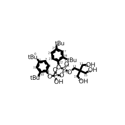 CC(C)(C)c1ccc(OP(=O)(O)OP(=O)(OCC(CO)(CO)CO)Oc2ccc(C(C)(C)C)cc2C(C)(C)C)c(C(C)(C)C)c1